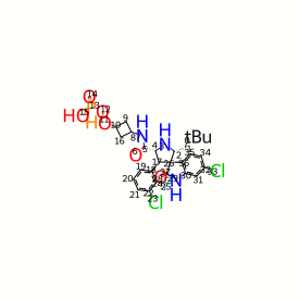 CC(C)(C)C[C@H]1N[C@@H](C(=O)NC2CC(OO[PH](=O)O)C2)[C@H](c2cccc(Cl)c2F)[C@@]12C(=O)Nc1cc(Cl)ccc12